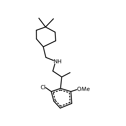 COc1cccc(Cl)c1C(C)CNCC1CCC(C)(C)CC1